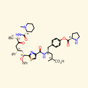 CCCO[C@H](C[C@@H](CC(=O)[C@@H](NC(=O)[C@H]1CCCCN1C)[C@@H](C)CC)C(C)C)c1nc(C(=O)N[C@@H](Cc2ccc(OC(=O)[C@H]3CCCN3)cc2)C[C@H](C)C(=O)O)cs1